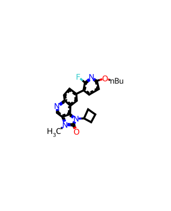 CCCCOc1ccc(-c2ccc3ncc4c(c3c2)n(C2CCC2)c(=O)n4C)c(F)n1